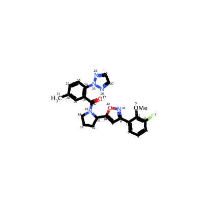 COc1c(F)cccc1-c1cc(C2CCCN2C(=O)c2cc(C)ccc2-n2nccn2)on1